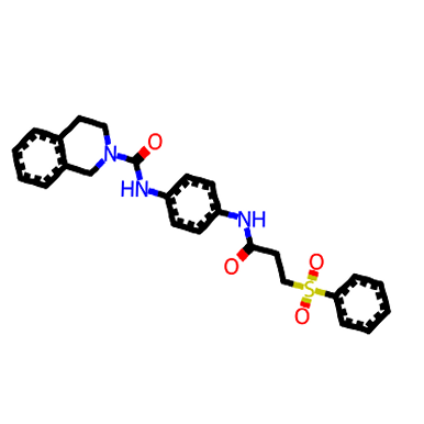 O=C(CCS(=O)(=O)c1ccccc1)Nc1ccc(NC(=O)N2CCc3ccccc3C2)cc1